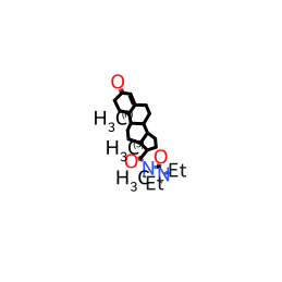 CCN(CC)C(=O)N(C)C(=O)C1CCC2C3CCC4=CC(=O)CC[C@]4(C)C3CC[C@]12C